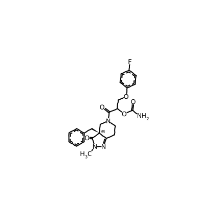 CN1N=C2CCN(C(=O)C(COc3ccc(F)cc3)OC(N)=O)C[C@@]2(Cc2ccccc2)C1=O